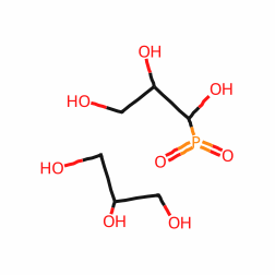 O=P(=O)C(O)C(O)CO.OCC(O)CO